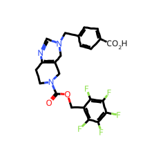 O=C(O)c1ccc(CN2C=NC3=C(C2)CN(C(=O)OCc2c(F)c(F)c(F)c(F)c2F)CC3)cc1